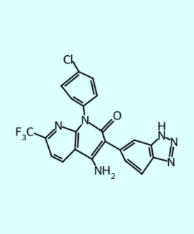 Nc1c(-c2ccc3nn[nH]c3c2)c(=O)n(-c2ccc(Cl)cc2)c2nc(C(F)(F)F)ccc12